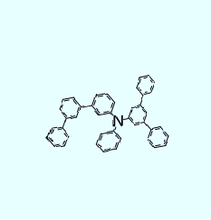 c1ccc(-c2cccc(-c3cccc(N(c4ccccc4)c4cc(-c5ccccc5)cc(-c5ccccc5)c4)c3)c2)cc1